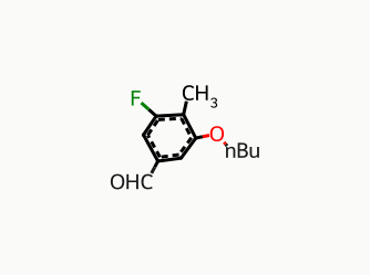 CCCCOc1cc(C=O)cc(F)c1C